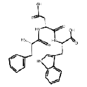 O=C(O)C[C@@H](NC(=O)[C@@H](S)Cc1ccccc1)C(=O)N[C@@H](Cc1c[nH]c2ccccc12)C(=O)O